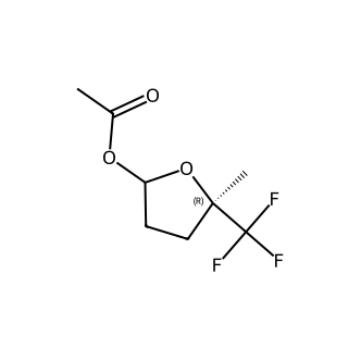 CC(=O)OC1CC[C@](C)(C(F)(F)F)O1